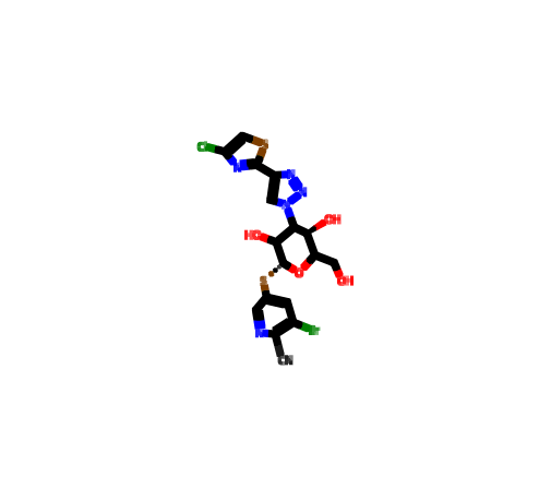 N#Cc1ncc(S[C@H]2OC(CO)[C@H](O)C(n3cc(-c4nc(Cl)cs4)nn3)C2O)cc1Br